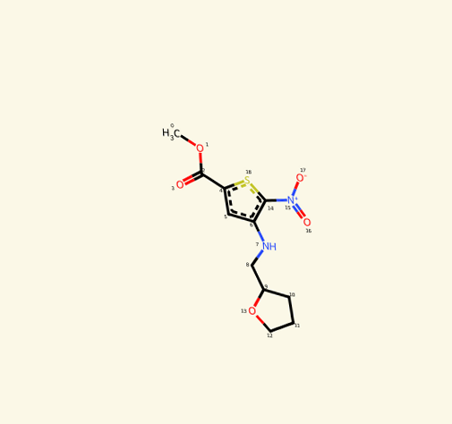 COC(=O)c1cc(NCC2CCCO2)c([N+](=O)[O-])s1